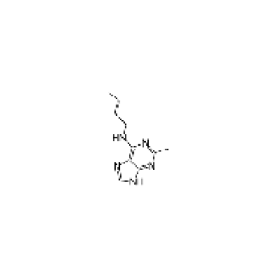 C/C=C/CNc1nc(C)nc2[nH]cnc12